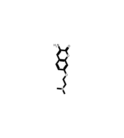 CN(C)CCOc1ccc2cc(N)c(=O)oc2c1